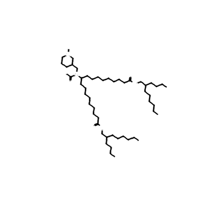 CCCCCCC(CCCC)COC(=O)CCCCCCCCC(CCCCCCCCC(=O)OCC(CCCC)CCCCCC)N(CC1CCCN(C)C1)C(=O)Cl